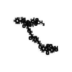 CS(=O)(=O)n1ccc(C(=O)N[C@@H](CCOCCCC(=O)N2CCN(CCCOc3ccc4c(c3)C(=O)N(C3CCC(=O)NC3=O)C4=O)CC2)C(=O)Nc2nc(-c3ccccc3)cs2)c1